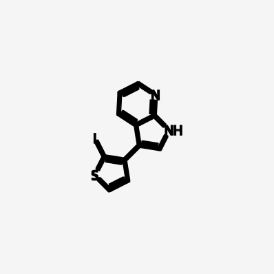 Ic1sccc1-c1c[nH]c2ncccc12